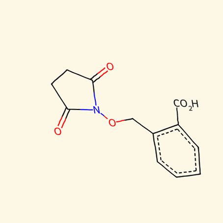 O=C(O)c1ccccc1CON1C(=O)CCC1=O